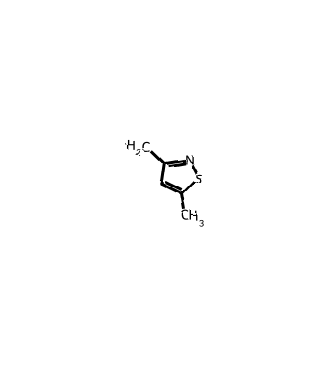 [CH2]c1cc(C)sn1